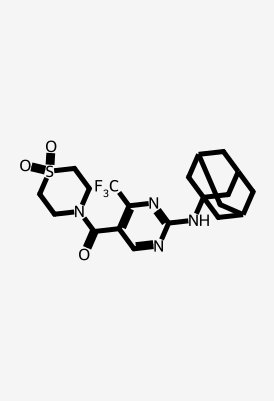 O=C(c1cnc(NC23CC4CC(CC(C4)C2)C3)nc1C(F)(F)F)N1CCS(=O)(=O)CC1